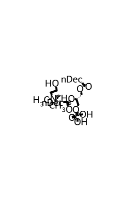 CCCCCCCCCCC(=O)OC[C@H](COP(=O)(O)O)OC(=O)CCCCCCCCCC.C[N+](C)(C)CCO